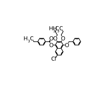 CCCOc1c(OCCC)c(OC(=O)c2ccc(CC)cc2)c2cc(Cl)ccc2c1OCc1ccccc1